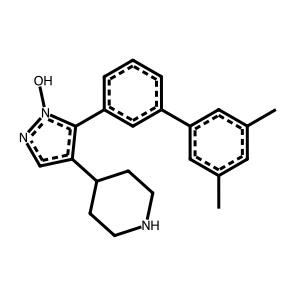 Cc1cc(C)cc(-c2cccc(-c3c(C4CCNCC4)cnn3O)c2)c1